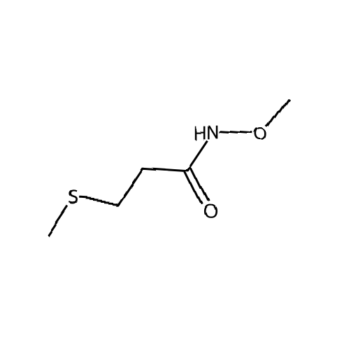 CONC(=O)CCSC